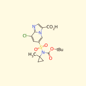 CC(C)(C)OC(=O)N(C1(C)CC1)S(=O)(=O)c1cc(Cl)c2ncc(C(=O)O)n2c1